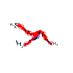 C=CC(=O)OCCCCCCOc1ccc(OC(=O)c2ccc(COc3ccc4c5ccc(OCc6ccc(C(=O)Oc7ccc(OCCCCCCOC(=O)C=C)cc7)cc6)cc5c5nc6cc(OCc7ccc(OCCOCCOC(=O)C=C)cc7)ccc6nc5c4c3)cc2)cc1